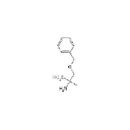 CC(N)(COCc1ccccc1)C(=O)O